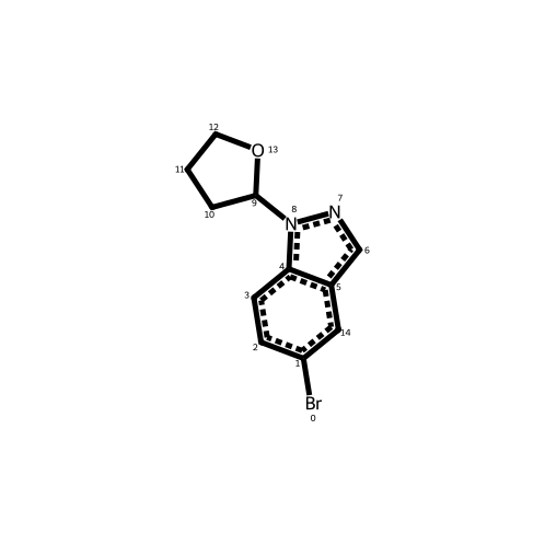 Brc1ccc2c(cnn2C2CCCO2)c1